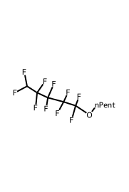 CCCCCOC(F)(F)C(F)(F)C(F)(F)C(F)(F)C(F)F